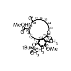 COC(=O)[C@@H]1CSCc2c(O[Si](C)(C)C(C)(C)C)cc(OC)c(C)c2C(=O)OCCCCCC(=O)N1